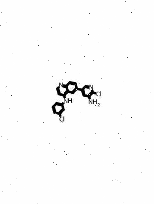 Nc1cc(-c2ccc3nccc(Nc4cccc(Cl)c4)c3c2)cnc1Cl